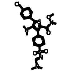 CON(C)C(=O)c1sc(-c2ccc(Cl)cc2)c(N(C)C)c1-c1ccc(S(=O)(=O)N=CN(C)C)cc1